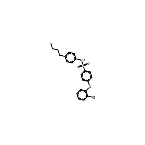 CCCCc1ccc(NS(=O)(=O)c2ccc(Oc3ccccc3Cl)cc2)cc1